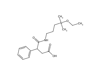 CCO[Si](C)(C)CCCNC(=O)C(CC(=O)O)c1ccccc1